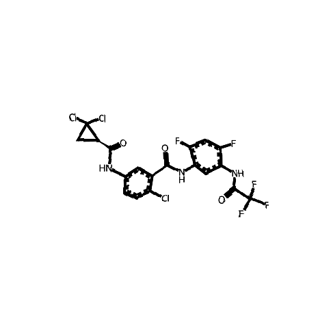 O=C(Nc1cc(NC(=O)C(F)(F)F)c(F)cc1F)c1cc(NC(=O)[C@H]2CC2(Cl)Cl)ccc1Cl